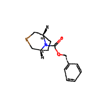 O=C(OCc1ccccc1)N1[C@@H]2CC[C@H]1CSC2